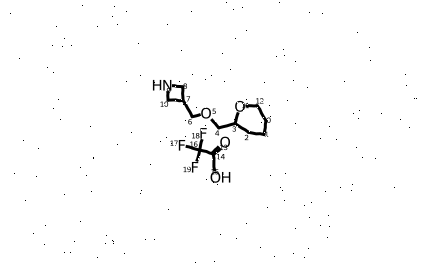 C1CCC(COCC2CNC2)OC1.O=C(O)C(F)(F)F